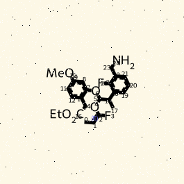 C/C=C(/F)OC(Oc1cc(OC)ccc1CC(=O)OCC)C(C)c1cccc(CN)c1F